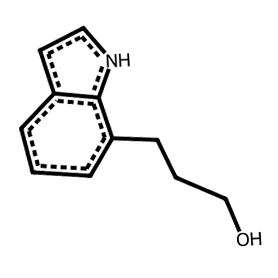 OCCCc1cccc2cc[nH]c12